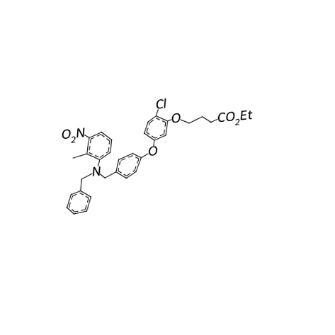 CCOC(=O)CCCOc1cc(Oc2ccc(CN(Cc3ccccc3)c3cccc([N+](=O)[O-])c3C)cc2)ccc1Cl